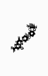 [2H]C1(Oc2ccc3c(c2)OC([2H])([2H])C([2H])([2H])O3)CCN(c2nn3c(=O)cc(C(F)F)nc3cc2C)CC1